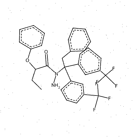 CCC(Oc1ccccc1)C(=O)N(N)C(Cc1ccccc1)(c1cccc(C(F)(F)F)c1)c1cccc(C(F)(F)F)c1